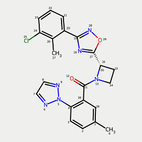 Cc1ccc(-n2nccn2)c(C(=O)N2CC[C@H]2c2nc(-c3cccc(Cl)c3C)no2)c1